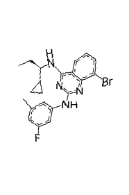 CC[C@@H](Nc1nc(Nc2cc(C)cc(F)c2)nc2c(Br)cccc12)C1CC1